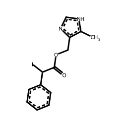 Cc1[nH]cnc1COC(=O)C(I)c1ccccc1